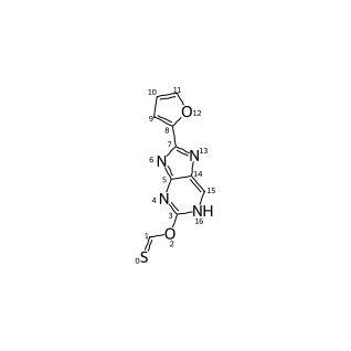 S=COc1nc2nc(-c3ccco3)nc-2c[nH]1